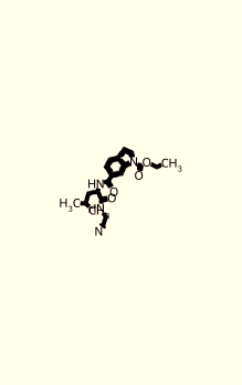 CCOC(=O)n1ccc2ccc(C(=O)NC(CC(C)C)C(=O)NCC#N)cc21